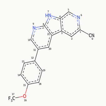 N#Cc1cc2c(cn1)[nH]c1ncc(-c3ccc(OC(F)(F)F)cc3)cc12